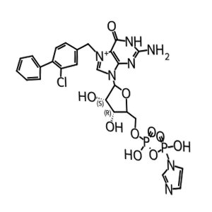 Nc1nc2c(c(=O)[nH]1)[n+](Cc1ccc(-c3ccccc3)c(Cl)c1)cn2C1OC(COP(=O)(O)OP(=O)(O)n2ccnc2)[C@H](O)[C@@H]1O